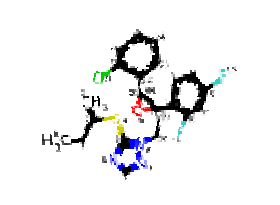 CCC(C)Sc1ncnn1C[C@@]1(c2ccc(F)cc2F)O[C@@H]1c1ccccc1Cl